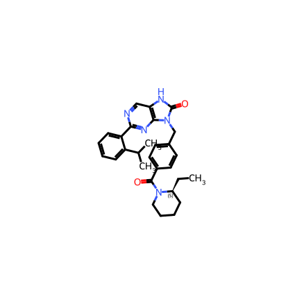 CC[C@H]1CCCCN1C(=O)c1ccc(Cn2c(=O)[nH]c3cnc(-c4ccccc4C(C)C)nc32)cc1